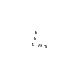 [Al].[C].[Ti].[Ti].[Ti]